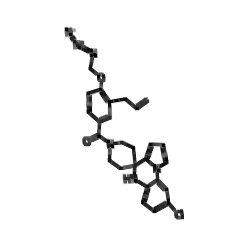 C=CCc1cc(C(=O)N2CCC3(CC2)Nc2ccc(Cl)cc2-n2cccc23)ccc1OCN=[N+]=[N-]